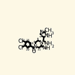 CC1=NSC(C(N)N2CCN(C(=O)c3ccc(Cl)c(Cl)c3)CC2=N)N1